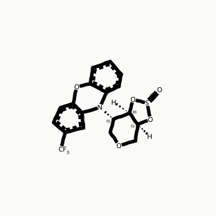 O=S1O[C@H]2[C@H](COC[C@@H]2N2c3ccccc3Oc3ccc(C(F)(F)F)cc32)O1